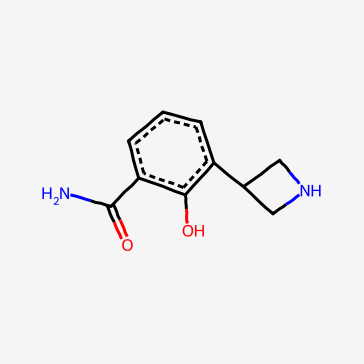 NC(=O)c1cccc(C2CNC2)c1O